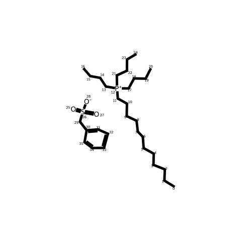 CCCCCCCCCCCC[P+](CCCC)(CCCC)CCCC.O=S(=O)([O-])Cc1ccccc1